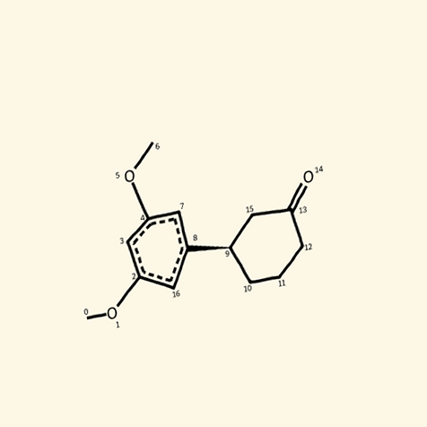 COc1cc(OC)cc([C@@H]2CCCC(=O)C2)c1